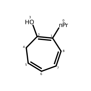 CCCC1=C(O)CC=CC=C1